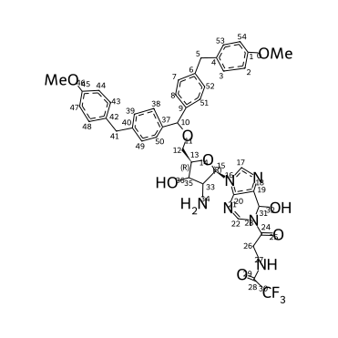 COc1ccc(Cc2ccc(C(OC[C@H]3O[C@@H](n4cnc5c4N=CN(C(=O)CNC(=O)C(F)(F)F)C5O)C(N)C3O)c3ccc(Cc4ccc(OC)cc4)cc3)cc2)cc1